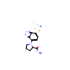 CN(C)S(=O)(=O)c1ccc(N2CCCC2C(=O)NN)c2nonc12